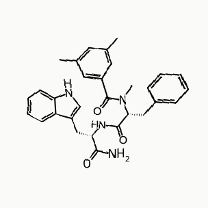 Cc1cc(C)cc(C(=O)N(C)[C@H](Cc2ccccc2)C(=O)N[C@@H](Cc2c[nH]c3ccccc23)C(N)=O)c1